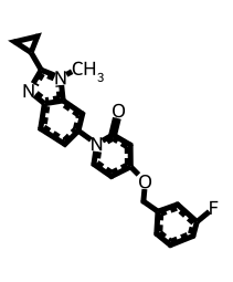 Cn1c(C2CC2)nc2ccc(-n3ccc(OCc4cccc(F)c4)cc3=O)cc21